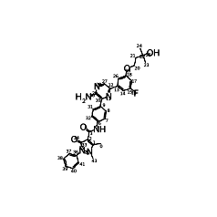 Cc1c(C(=O)Nc2ccc(-c3nc(-c4cc(F)cc(OCCC(C)(C)O)c4)cnc3N)cc2)c(=O)n(-c2ccccc2)n1C